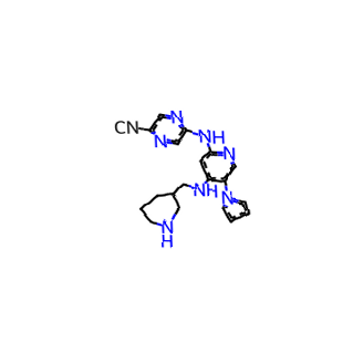 [C-]#[N+]c1cnc(Nc2cc(NCC3CCCNC3)c(-n3cccc3)cn2)cn1